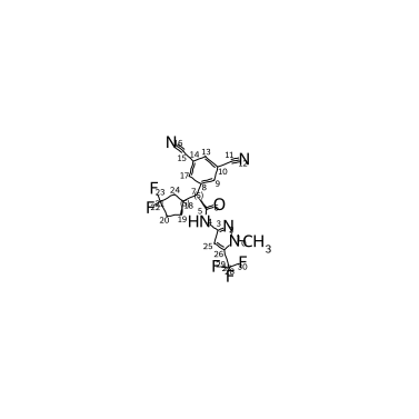 Cn1nc(NC(=O)[C@H](c2cc(C#N)cc(C#N)c2)[C@H]2CCC(F)(F)C2)cc1C(F)(F)F